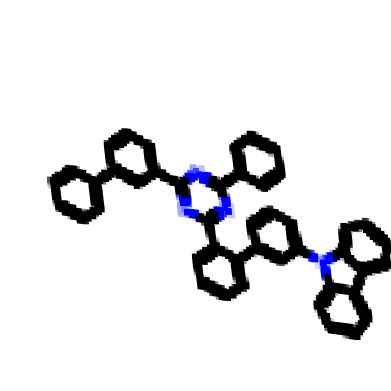 c1ccc(-c2cccc(-c3nc(-c4ccccc4)nc(-c4ccccc4-c4cccc(-n5c6ccccc6c6ccccc65)c4)n3)c2)cc1